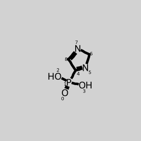 O=P(O)(O)C1=NCN=C1